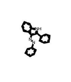 c1ccc(N=Nc2c(-c3ccccc3)[nH]c3ccccc23)cc1